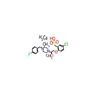 C[C@@H]1CN(Cc2ccc(F)cc2)[C@@H](C)CN1C(=O)COc1ccc(Cl)cc1CS(=O)(=O)O.[CaH2]